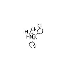 Cc1[nH]c(-c2cccnc2)nc1-c1cccc(Cl)c1Cl